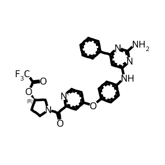 Nc1nc(Nc2ccc(Oc3ccnc(C(=O)N4CC[C@@H](OC(=O)C(F)(F)F)C4)c3)cc2)cc(-c2ccccc2)n1